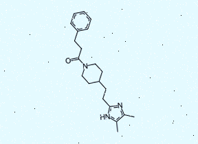 Cc1nc(CCC2CCN(C(=O)CCc3ccccc3)CC2)[nH]c1C